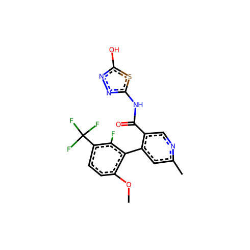 COc1ccc(C(F)(F)F)c(F)c1-c1cc(C)ncc1C(=O)Nc1nnc(O)s1